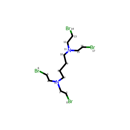 BrCCN(CCBr)CCCCN(CCBr)CCBr